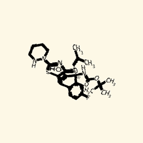 CC(C)C[C@@](NC(=O)OC(C)(C)C)(C(=O)O)c1cc(F)ccc1C=C1SC(N2CCCCN2)=NC1=O